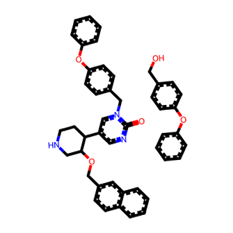 O=c1ncc(C2CCNCC2OCc2ccc3ccccc3c2)cn1Cc1ccc(Oc2ccccc2)cc1.OCc1ccc(Oc2ccccc2)cc1